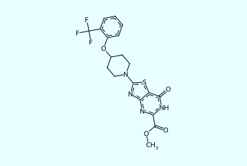 COC(=O)c1nc2nc(N3CCC(Oc4ccccc4C(F)(F)F)CC3)sc2c(=O)[nH]1